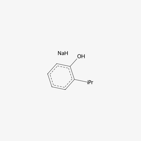 CC(C)c1ccccc1O.[NaH]